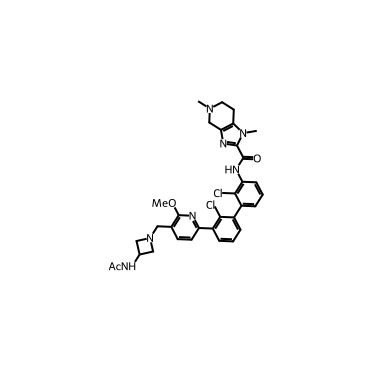 COc1nc(-c2cccc(-c3cccc(NC(=O)c4nc5c(n4C)CCN(C)C5)c3Cl)c2Cl)ccc1CN1CC(NC(C)=O)C1